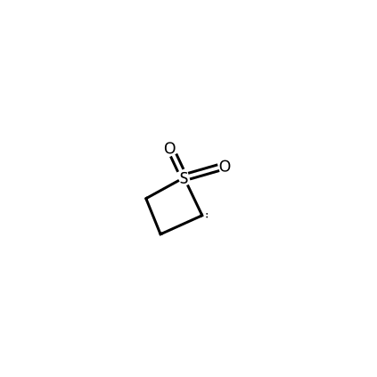 O=S1(=O)[C]CC1